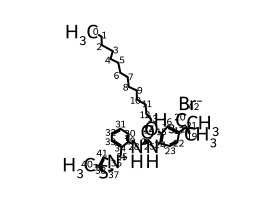 CCCCCCCCCCCCCCOc1cc(C(C)(C)C)ccc1NC(=O)Nc1ccccc1C[n+]1csc(C)c1.[Br-]